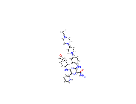 NC(=O)c1nc(-c2ccccn2)c(NC2CCC3(CC2)COC3)nc1Nc1ccc(N2CCC(N3CCN(C4CC4)CC3)CC2)cc1